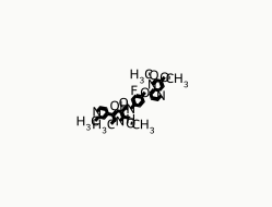 COCc1nc(C)c(-c2ccnc(C)c2)c(O)c1C(=O)Nc1ccc(Oc2ccnc3cc(OC)c(OC)nc23)c(F)c1